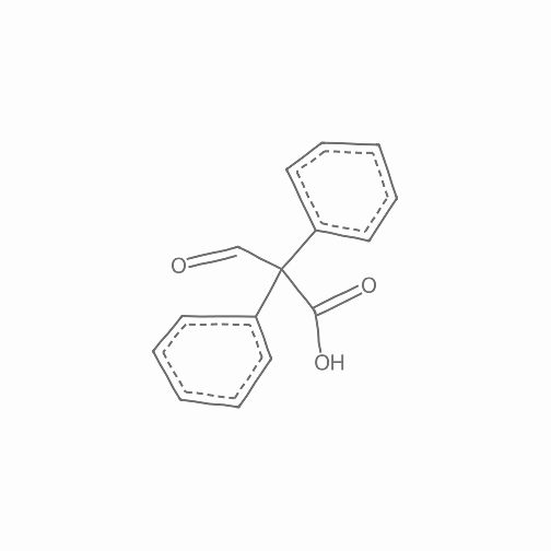 O=CC(C(=O)O)(c1ccccc1)c1ccccc1